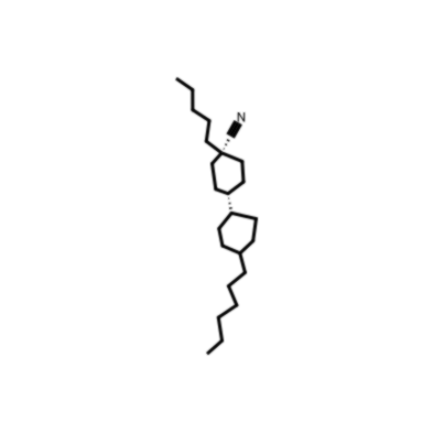 CCCCCCC1CCC([C@H]2CC[C@](C#N)(CCCCC)CC2)CC1